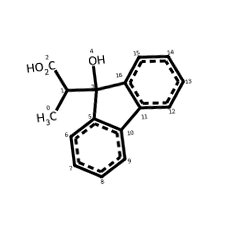 CC(C(=O)O)C1(O)c2ccccc2-c2ccccc21